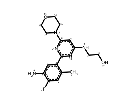 Cc1cc(F)c(N)cc1-c1nc(NCCO)cc(N2CCOCC2)n1